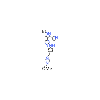 CCn1cc(-c2ccnc(Nc3ccc(CCN4CCN(CCOC)CC4)cc3)n2)c(-c2cccnc2)n1